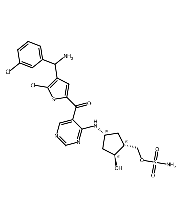 NC(c1cccc(Cl)c1)c1cc(C(=O)c2cncnc2N[C@@H]2C[C@H](COS(N)(=O)=O)[C@@H](O)C2)sc1Cl